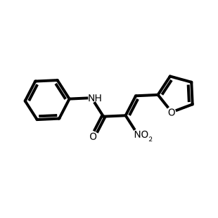 O=C(Nc1ccccc1)C(=Cc1ccco1)[N+](=O)[O-]